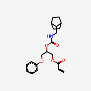 C=CC(=O)OCC(COc1ccccc1)OC(=O)NCC1C2CCC1CC2